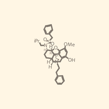 COc1cc(O)c2c3c1O[C@H]1[C@@H](N(CC(C)C)S(=O)(=O)Cc4ccccc4)CC[C@H]4[C@@H](C2)N(CCc2ccccc2)CC[C@@]341